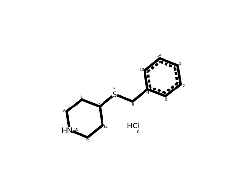 Cl.c1ccc(CSC2CCNCC2)cc1